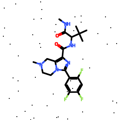 CNC(=O)C(NC(=O)c1nc(-c2cc(F)c(F)cc2F)n2c1CN(C)CC2)C(C)(C)C